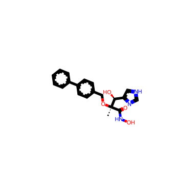 C[C@@](OCc1ccc(-c2ccccc2)cc1)(C(=O)NO)[C@@H](O)c1c[nH]cn1